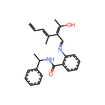 C=C/C=C(C)/C(/C=N/c1ccccc1C(=O)NC(C)c1ccccc1)=C(\C)O